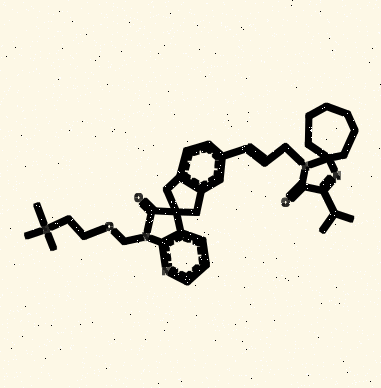 CC(C)C1=NC2(CCCCCC2)N(CC=Cc2ccc3c(c2)CC2(C3)C(=O)N(COCC[Si](C)(C)C)c3ncccc32)C1=O